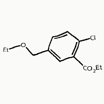 CCOCc1ccc(Cl)c(C(=O)OCC)c1